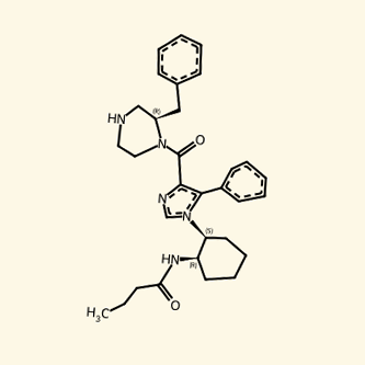 CCCC(=O)N[C@@H]1CCCC[C@@H]1n1cnc(C(=O)N2CCNC[C@H]2Cc2ccccc2)c1-c1ccccc1